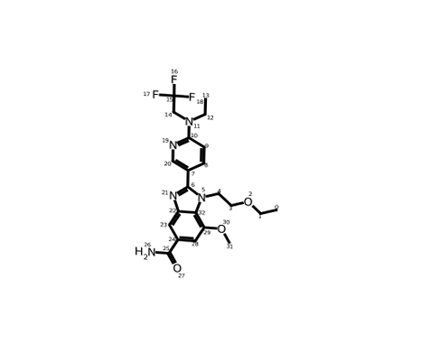 CCOCCn1c(-c2ccc(N(CC)CC(F)(F)F)nc2)nc2cc(C(N)=O)cc(OC)c21